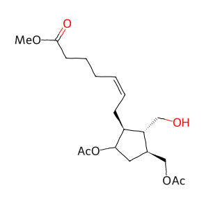 COC(=O)CCC/C=C\C[C@@H]1C(OC(C)=O)C[C@H](COC(C)=O)[C@H]1CO